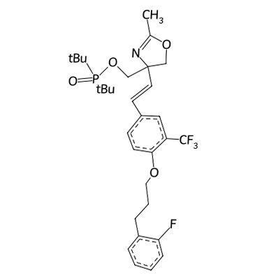 CC1=NC(C=Cc2ccc(OCCCc3ccccc3F)c(C(F)(F)F)c2)(COP(=O)(C(C)(C)C)C(C)(C)C)CO1